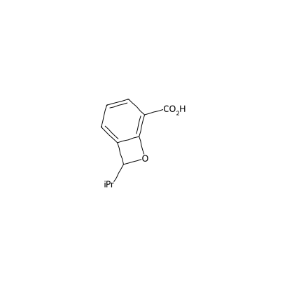 CC(C)C1Oc2c(C(=O)O)cccc21